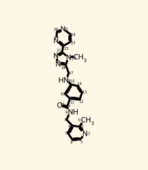 Cc1ncccc1CNC(=O)c1cccc(NCc2nnc(-c3ccncn3)n2C)c1